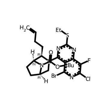 C=CCC[C@@H]1[C@@H]2CC[C@H](CN1c1nc(SCC)nc3c(F)c(Cl)nc(Br)c13)N2C(=O)OC(C)(C)C